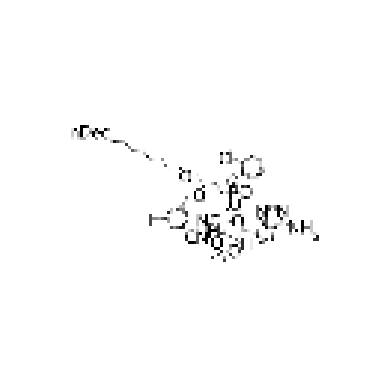 CCCCCCCCCCCCCCCCCCOC[C@H](CCP(=O)(OC[C@@]1(C#N)O[C@@H](c2ccc3c(N)ncnn23)[C@@H]2OC(C)(C)O[C@@H]21)Oc1ccccc1Cl)OCc1cc(F)cc(C#N)c1